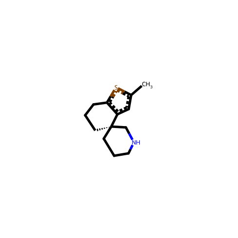 Cc1cc2c(s1)CCC[C@]21CCCNC1